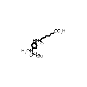 CN(C(=O)OC(C)(C)C)c1ccc(NC(=O)CCCCCCC(=O)O)cc1